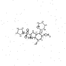 Cc1cc(F)c2[nH]c(S(=O)(=O)N3CCCC3)cc2c1C1CCCCO1